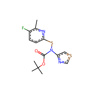 Cc1nc(SN(C(=O)OC(C)(C)C)c2cscn2)ccc1F